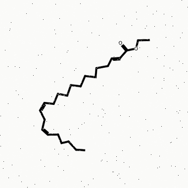 CCCCC/C=C\C/C=C\CCCCCCCCC/C=C/C(=O)OCC